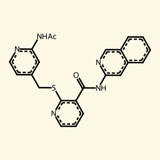 CC(=O)Nc1cc(CSc2ncccc2C(=O)Nc2cc3ccccc3cn2)ccn1